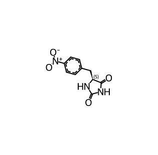 O=C1NC(=O)[C@H](Cc2ccc([N+](=O)[O-])cc2)N1